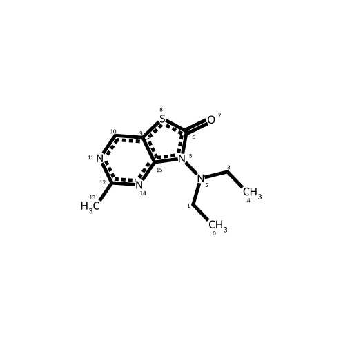 CCN(CC)n1c(=O)sc2cnc(C)nc21